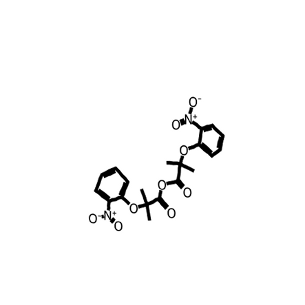 CC(C)(Oc1ccccc1[N+](=O)[O-])C(=O)OC(=O)C(C)(C)Oc1ccccc1[N+](=O)[O-]